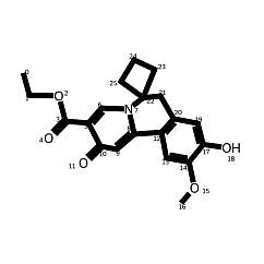 CCOC(=O)c1cn2c(cc1=O)-c1cc(OC)c(O)cc1CC21CCC1